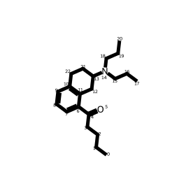 CCCCC(=O)c1cccc2c1CC(N(CCC)CCC)CC2